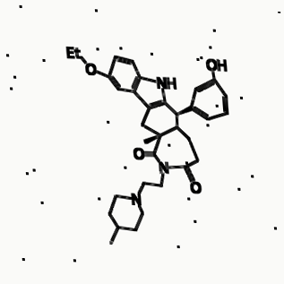 CCOc1ccc2[nH]c3c(c2c1)C[C@@]1(C)C(=O)N(CCN2CCC(C)CC2)C(=O)CCC1[C@@H]3c1cccc(O)c1